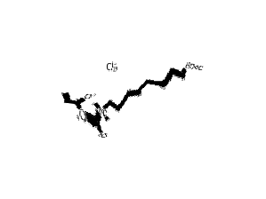 C=CC(=O)OC(CC)[N+](C)(C)CCCCCCCCCCCCCCCCCC.[Cl-]